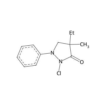 CCC1(C)CN(c2ccccc2)N(Cl)C1=O